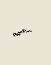 C#CCOc1noc(COc2ccc(Oc3ccccc3)cc2)n1